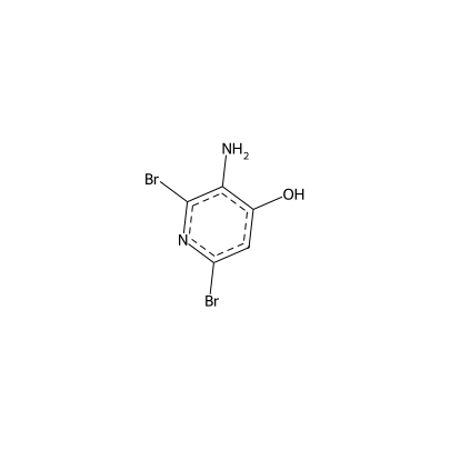 Nc1c(O)cc(Br)nc1Br